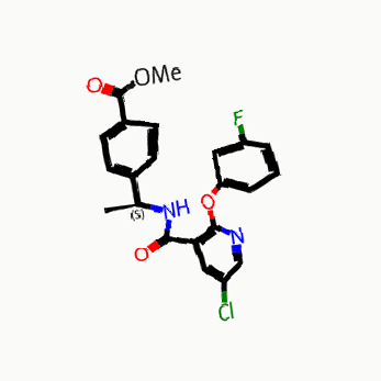 COC(=O)c1ccc([C@H](C)NC(=O)c2cc(Cl)cnc2Oc2cccc(F)c2)cc1